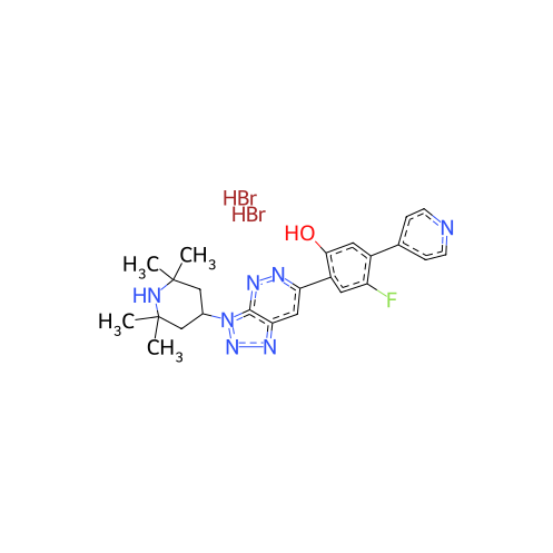 Br.Br.CC1(C)CC(n2nnc3cc(-c4cc(F)c(-c5ccncc5)cc4O)nnc32)CC(C)(C)N1